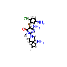 C[C@H]1C[C@@H](N)C2(CCN(c3nc(N)c(Sc4cc(N)ccc4Cl)c(=O)n3C)CC2)C1